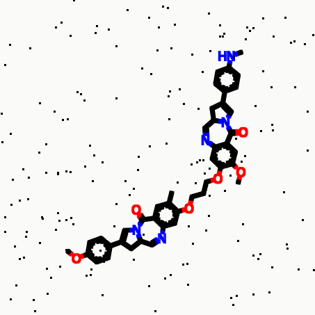 CNc1ccc(C2=CN3C(=O)c4cc(OC)c(OCCCOc5cc6c(cc5C)C(=O)N5C=C(c7ccc(OC)cc7)CC5C=N6)cc4N=CC3C2)cc1